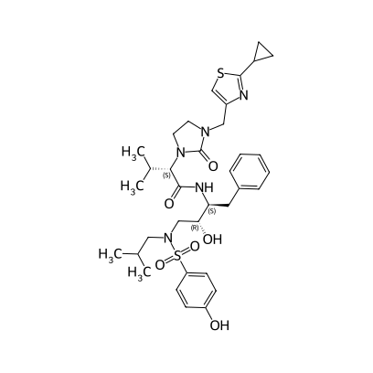 CC(C)CN(C[C@@H](O)[C@H](Cc1ccccc1)NC(=O)[C@H](C(C)C)N1CCN(Cc2csc(C3CC3)n2)C1=O)S(=O)(=O)c1ccc(O)cc1